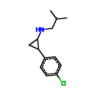 C[C](C)CNC1CC1c1ccc(Cl)cc1